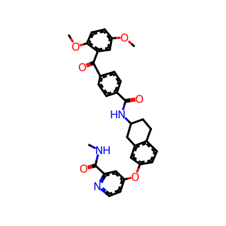 CNC(=O)c1cc(Oc2ccc3c(c2)CC(NC(=O)c2ccc(C(=O)c4cc(OC)ccc4OC)cc2)CC3)ccn1